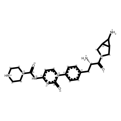 NC1C2CN(C(=O)[C@@H](N)Cc3ccc(-n4ccc(NC(=O)N5CCNCC5)nc4=O)cc3)CC12